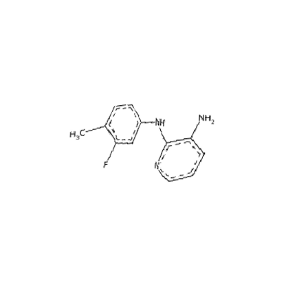 Cc1ccc(Nc2ncccc2N)cc1F